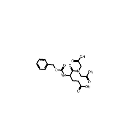 O=C(O)CCC(NC(=O)OCc1ccccc1)C(=O)N(CC(=O)O)CC(=O)O